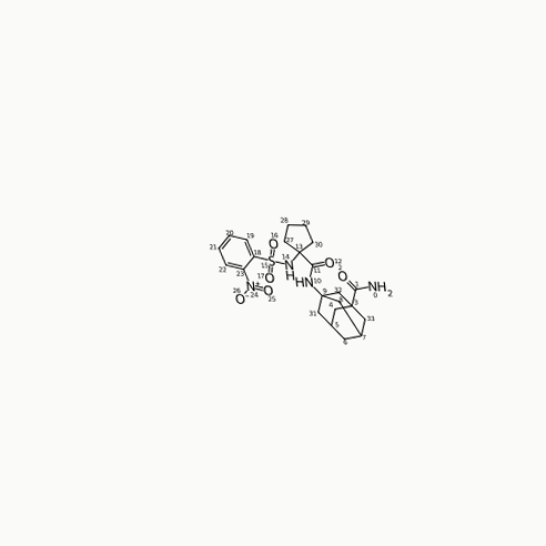 NC(=O)C12CC3CC(CC(NC(=O)C4(NS(=O)(=O)c5ccccc5[N+](=O)[O-])CCCC4)(C3)C1)C2